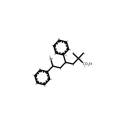 CCOC(=O)C(C)(C)CC(CC(Br)c1ccccc1)c1ccccc1